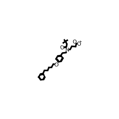 COC(=O)CCCN(CCc1ccc(OCCCCCc2ccccc2)cc1)C(=O)CC(C)(C)C